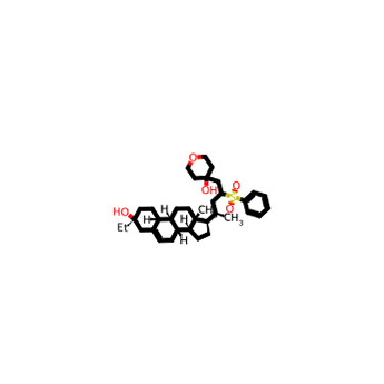 CC[C@]1(O)CC[C@H]2C(=CC[C@@H]3[C@@H]2CC[C@]2(C)[C@@H]([C@H](C)CC(CC4(O)CCOCC4)S(=O)(=O)c4ccccc4)CC[C@@H]32)C1